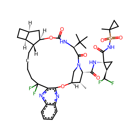 C[C@@H]1[C@@H]2CN(C(=O)[C@H](C(C)(C)C)NC(=O)O[C@@H]3C[C@@H]4CC[C@@H]4[C@H]3CCCCC(F)(F)c3nc4ccccc4nc3O2)[C@@H]1C(=O)N[C@]1(C(=O)NS(=O)(=O)C2(C)CC2)C[C@H]1C(F)F